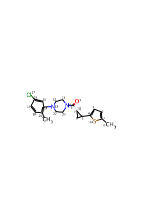 Cc1ccc(C2C[C@@H]2C(=O)N2CCN(c3cc(Cl)ccc3C)CC2)s1